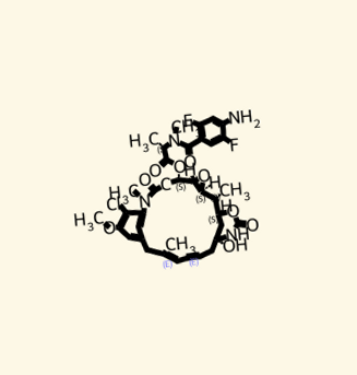 COc1cc2cc(c1Cl)N(C)C(=O)C[C@H](OC(=O)[C@H](C)N(C)C(=O)c1cc(F)c(N)cc1F)[C@@H]1O[C@H]1[C@H](C)[C@@H]1C[C@](O)(C/C=C/C=C(\C)C2)NC(=O)O1